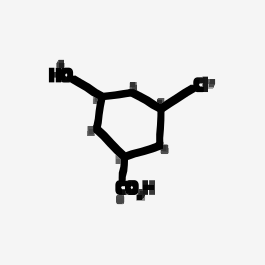 O=C(O)C1CC(O)CC(Cl)C1